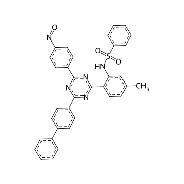 Cc1ccc(-c2nc(-c3ccc(N=O)cc3)nc(-c3ccc(-c4ccccc4)cc3)n2)c(NS(=O)(=O)c2ccccc2)c1